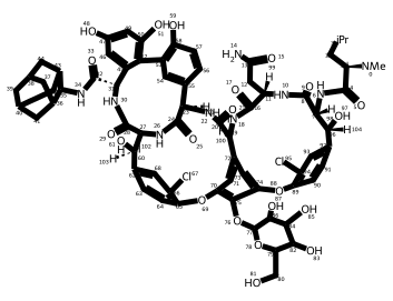 CN[C@H](CC(C)C)C(=O)N[C@H]1C(=O)N[C@@H](CC(N)=O)C(=O)N[C@H]2C(=O)N[C@H]3C(=O)N[C@H](C(=O)N[C@H](C(=O)NC4C5CC6CC(C5)CC4C6)c4cc(O)cc(O)c4-c4cc3ccc4O)[C@H](O)c3ccc(c(Cl)c3)Oc3cc2cc(c3OC2OC(CO)C(O)C(O)C2O)Oc2ccc(cc2Cl)[C@H]1O